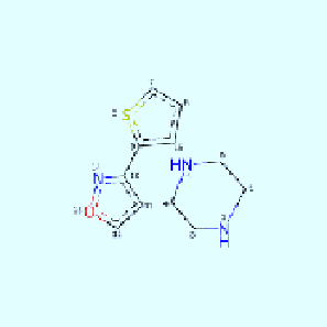 C1CNCCN1.c1csc(-c2ccon2)c1